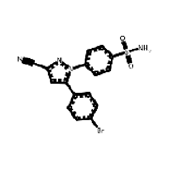 N#Cc1cc(-c2ccc(Br)cc2)n(-c2ccc(S(N)(=O)=O)cc2)n1